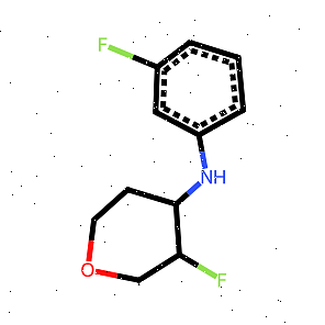 Fc1cccc(NC2CCO[CH]C2F)c1